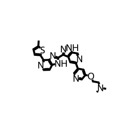 Cc1ccc(-c2nccc3[nH]c(-c4n[nH]c5cnc(-c6cncc(OCCN(C)C)c6)cc45)nc23)s1